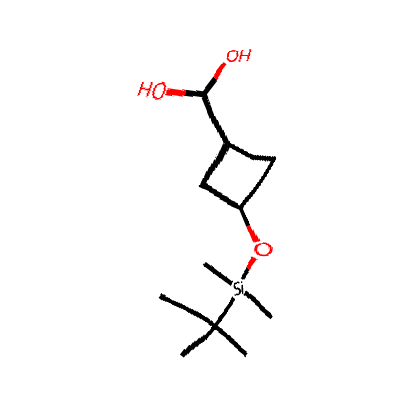 CC(C)(C)[Si](C)(C)OC1CC(C(O)O)C1